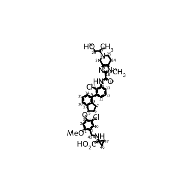 COc1cc(OC2CCc3c(-c4cccc(NC(=O)c5nc6c(n5C)CCN(C(C)CO)C6)c4Cl)cccc32)c(Cl)cc1CNC1(C(=O)O)CC1